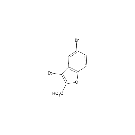 CCc1c(C(=O)O)oc2ccc(Br)cc12